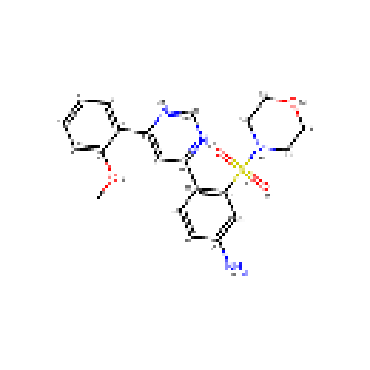 COc1ccccc1-c1cc(-c2ccc(N)cc2S(=O)(=O)N2CCOCC2)ncn1